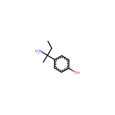 CCC(C)(N)c1ccc(O)cc1